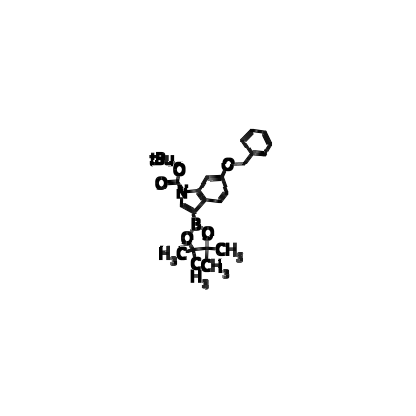 CC(C)(C)OC(=O)n1cc(B2OC(C)(C)C(C)(C)O2)c2ccc(OCc3ccccc3)cc21